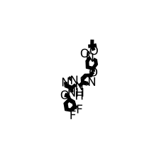 CC(C)(C)OC(=O)N1CCC(Oc2ccc(Nc3ncncc3NC(=O)c3ccc(F)c(F)c3)cn2)CC1